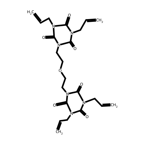 C=CCn1c(=O)n(CC=C)c(=O)n(CCOCCn2c(=O)n(CC=C)c(=O)n(CC=C)c2=O)c1=O